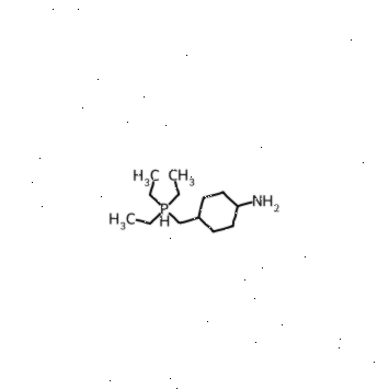 CC[PH](CC)(CC)CC1CCC(N)CC1